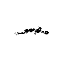 CCCCCCc1nc2cc(-c3ccc(C(=O)NS(=O)(=O)c4ccc(NCCSc5ccccc5)c([N+](=O)[O-])c4)cc3)ccc2s1